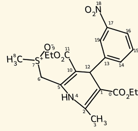 CCOC(=O)C1=C(C)NC(C[S+](C)[O-])=C(C(=O)OCC)C1c1cccc([N+](=O)[O-])c1